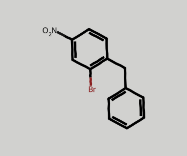 O=[N+]([O-])c1ccc(Cc2ccccc2)c(Br)c1